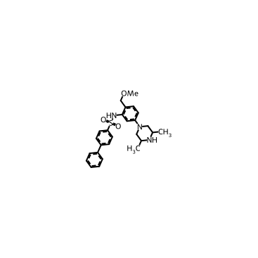 COCc1ccc(N2CC(C)NC(C)C2)cc1NS(=O)(=O)c1ccc(-c2ccccc2)cc1